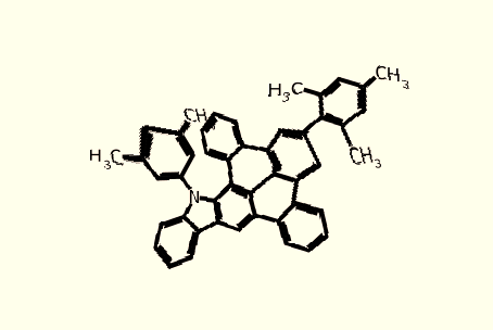 Cc1cc(C)cc(-n2c3ccccc3c3cc4c5ccccc5c5cc(-c6c(C)cc(C)cc6C)cc6c7ccccc7c(c4c56)c32)c1